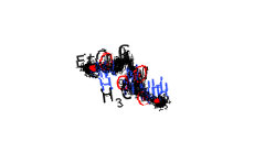 CCOC(=O)C[C@H](CCCN1CC(=O)N(C)c2ccc(NC(=O)NCc3ccccc3)cc2C1=O)c1ccc(NC(=O)NCc2ccccc2)cc1